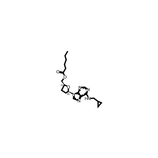 CCCCCC(=O)OC[C@@H]1CC[C@H](n2cnc3c(NCC4CC4)ncnc32)O1